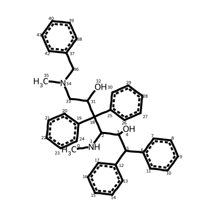 CNC(C(O)C(c1ccccc1)c1ccccc1)C(c1ccccc1)(c1ccccc1)C(O)CN(C)Cc1ccccc1